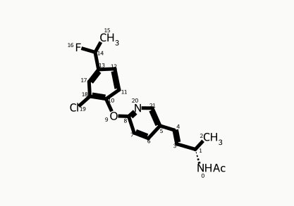 CC(=O)N[C@@H](C)/C=C/c1ccc(Oc2ccc(C(C)F)cc2Cl)nc1